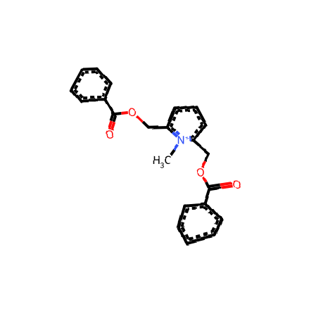 C[n+]1c(COC(=O)c2ccccc2)cccc1COC(=O)c1ccccc1